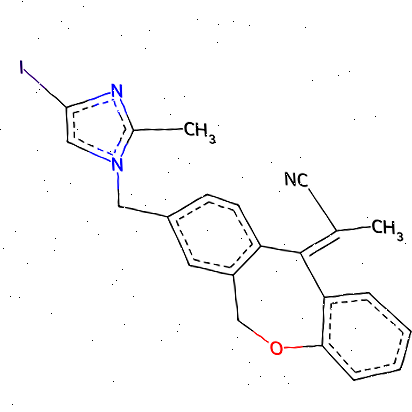 C/C(C#N)=C1/c2ccc(Cn3cc(I)nc3C)cc2COc2ccccc21